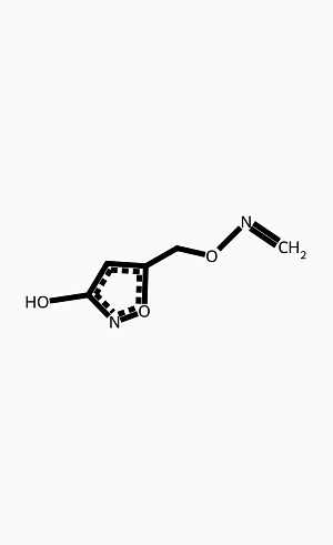 C=NOCc1cc(O)no1